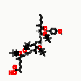 C=CC=C[C@H](C)[C@H](OCc1ccc(OC)cc1)[C@@H](C)[C@@H](CC[C@H](C)C[C@H](C)[C@@H](O[Si](C)(C)C(C)(C)C)[C@@H](C)C=C[C@H](C[C@H](O[Si](C)(C)C(C)(C)C)[C@H](C)C=CC=C(C)C(=O)O)O[Si](C)(C)C(C)(C)C)O[Si](C)(C)C(C)(C)C